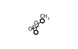 Cc1cccc(C(=O)C=C2OC(=O)c3ccccc32)c1